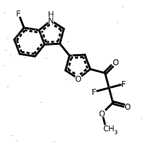 COC(=O)C(F)(F)C(=O)c1cc(-c2c[nH]c3c(F)cccc23)co1